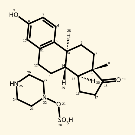 C[C@]12CC[C@@H]3c4ccc(O)cc4CC[C@H]3[C@@H]1CCC2=O.O=S(=O)(O)ON1CCNCC1